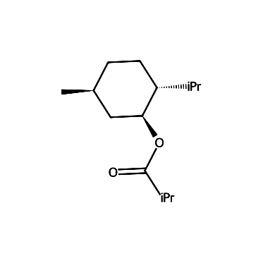 CC(C)C(=O)O[C@H]1C[C@@H](C)CC[C@@H]1C(C)C